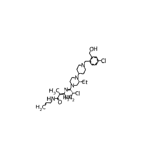 C=CCNC(=O)/C(C)=C(N)/N=C(\C(C)Cl)N1CCN(C2CCN(Cc3ccc(Cl)cc3CO)CC2)[C@@H](CC)C1